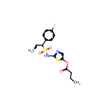 C=CC(c1ccc(F)cc1)S(=O)(=O)Nc1ncc(OC(=O)CCC)s1